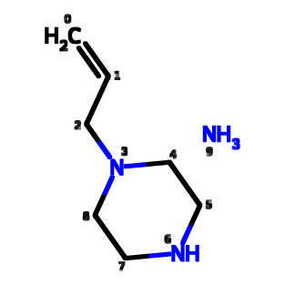 C=CCN1CCNCC1.N